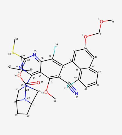 COCOc1cc(-c2c(C#N)c(OC)c3c(N4CC5CCC(C4)N5C(=O)OC(C)(C)C)nc(SC)nc3c2F)c2c(F)cccc2c1